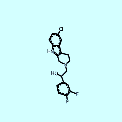 OC(CN1CCc2c([nH]c3ccc(Cl)cc23)C1)c1ccc(F)c(F)c1